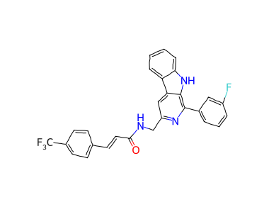 O=C(/C=C/c1ccc(C(F)(F)F)cc1)NCc1cc2c([nH]c3ccccc32)c(-c2cccc(F)c2)n1